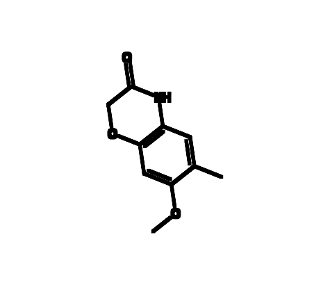 COc1cc2c(cc1C)NC(=O)CO2